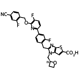 N#Cc1ccc(COc2nc(-c3ccc(Cc4nc5sc(C(=O)O)cc5n4C[C@@H]4CCO4)c(F)c3)ccc2F)c(F)c1